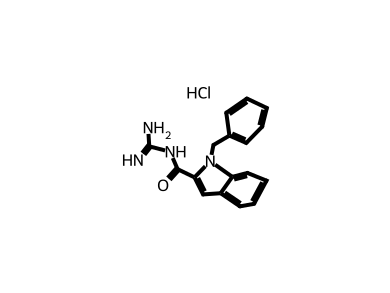 Cl.N=C(N)NC(=O)c1cc2ccccc2n1Cc1ccccc1